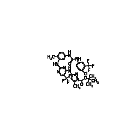 Cc1ccc(NC(=O)Nc2ccc(Cl)c(C(F)(F)F)c2)cc1Nc1ncc(C(F)(F)F)c(Nc2cc(C)n(C(=O)OC(C)(C)C)n2)n1